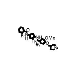 COc1cc2c(Nc3ccc(NC(=O)c4ccccc4Br)cc3F)ncnc2cc1OCC1CCN(C)CC1